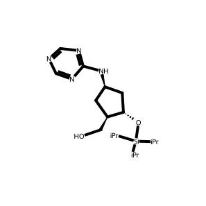 CC(C)[Si](O[C@H]1C[C@H](Nc2ncncn2)C[C@@H]1CO)(C(C)C)C(C)C